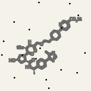 CCOC(=O)c1ccc(N2CCN(CCOCC(=O)N[C@H](C(=O)N3C[C@H](O)C[C@H]3C(=O)N[C@@H](C)c3ccc(-c4scnc4C)cc3)C(C)(C)C)CC2)nc1